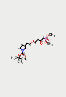 COP(=O)(CC(=O)CCOCCC1CCN(C(=O)OC(C)(C)C)C1)OC